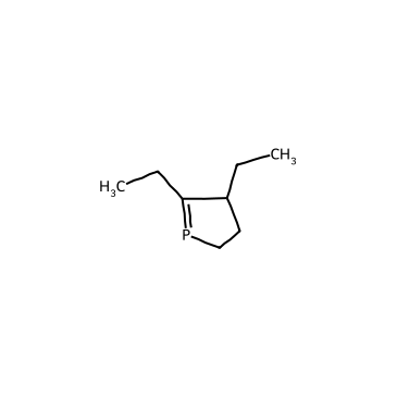 CCC1=PCCC1CC